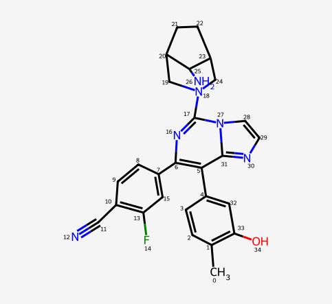 Cc1ccc(-c2c(-c3ccc(C#N)c(F)c3)nc(N3CC4CCC(C3)C4N)n3ccnc23)cc1O